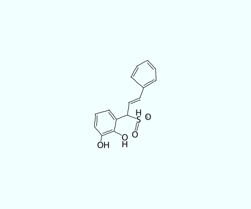 O=[SH](=O)C(C=Cc1ccccc1)c1cccc(O)c1O